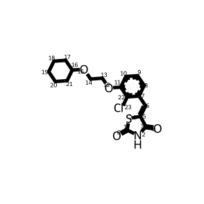 O=C1NC(=O)C(=Cc2cccc(OCCOC3CCCCC3)c2Cl)S1